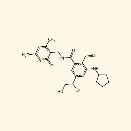 Cc1cc(C)c(CNC(=O)c2cc(C(O)CO)cc(NC3CCCC3)c2C=N)c(=O)[nH]1